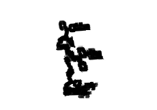 COCC(CCCN(C(=O)OC(C)(C)C)c1nc(C(=O)OC)cs1)O[Si](C(C)C)(C(C)C)C(C)C